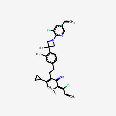 C=C/C(Cl)=C(\C)C(=N)/C(CCc1ccc(C2(C)CN(c3ncc(C=C)cc3F)C2)c(C)c1)=C(\C)C1CC1